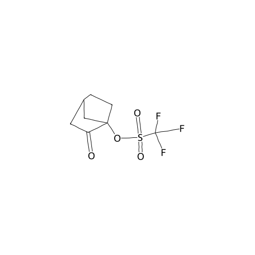 O=C1CC2CCC1(OS(=O)(=O)C(F)(F)F)C2